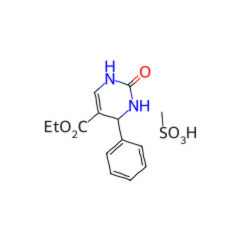 CCOC(=O)C1=CNC(=O)NC1c1ccccc1.CS(=O)(=O)O